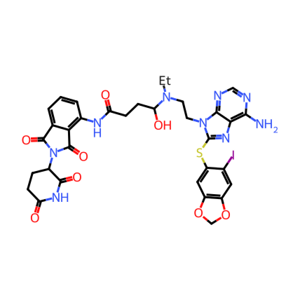 CCN(CCn1c(Sc2cc3c(cc2I)OCO3)nc2c(N)ncnc21)C(O)CCC(=O)Nc1cccc2c1C(=O)N(C1CCC(=O)NC1=O)C2=O